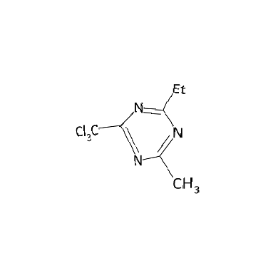 CCc1nc(C)nc(C(Cl)(Cl)Cl)n1